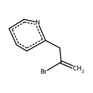 C=C(Br)Cc1ccccn1